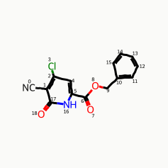 N#Cc1c(Cl)cc(C(=O)OCc2ccccc2)[nH]c1=O